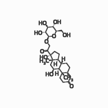 C[C@]12CCC(=O)C=C1CC[C@@H]1[C@@H]2[C@@H](O)C[C@@]2(C)[C@H]1CC[C@]2(O)C(=O)CO[C@@H]1O[C@H](CO)[C@@H](O)[C@H](O)[C@H]1O